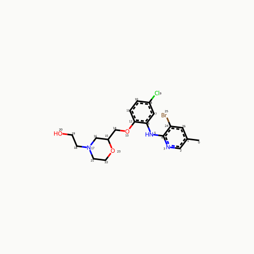 Cc1cnc(Nc2cc(Cl)ccc2OCC2CN(CCO)CCO2)c(Br)c1